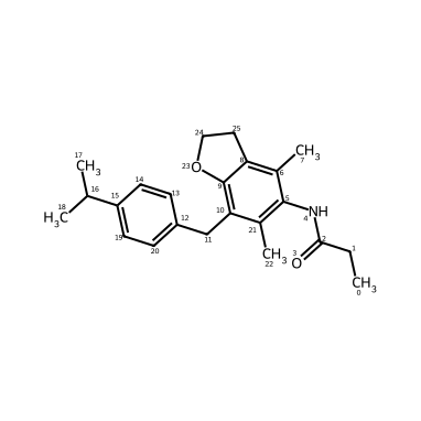 CCC(=O)Nc1c(C)c2c(c(Cc3ccc(C(C)C)cc3)c1C)OCC2